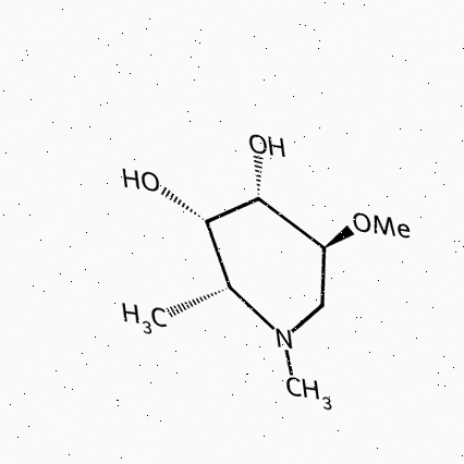 CO[C@H]1CN(C)[C@H](C)[C@H](O)[C@@H]1O